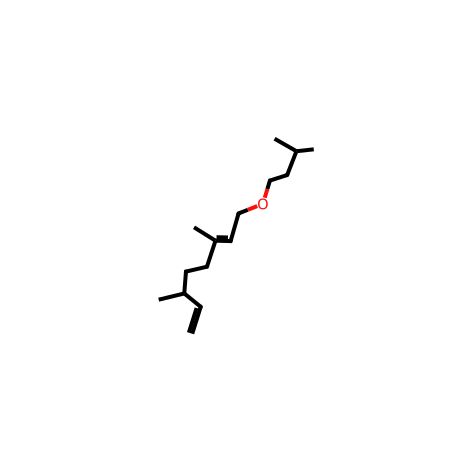 C=CC(C)CC/C(C)=C/COCCC(C)C